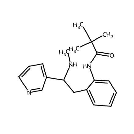 CNC(Cc1ccccc1NC(=O)C(C)(C)C)c1cccnc1